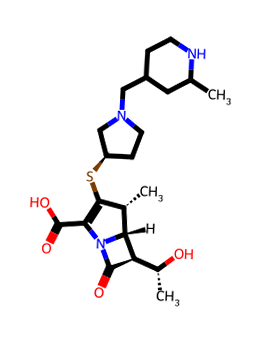 CC1CC(CN2CC[C@@H](SC3=C(C(=O)O)N4C(=O)[C@H]([C@@H](C)O)[C@H]4[C@H]3C)C2)CCN1